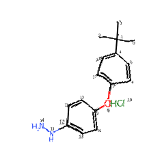 CC(C)(C)c1ccc(Oc2ccc(NN)cc2)cc1.Cl